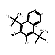 CC(F)(c1c(C#N)c(C#N)c(C(C)(F)C(F)(F)F)c2ccccc12)C(F)(F)F